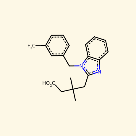 CC(C)(CC(=O)O)Cc1nc2ccccc2n1Cc1cccc(C(F)(F)F)c1